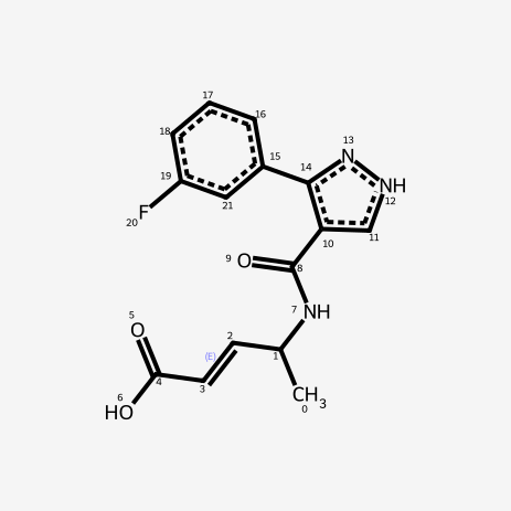 CC(/C=C/C(=O)O)NC(=O)c1c[nH]nc1-c1cccc(F)c1